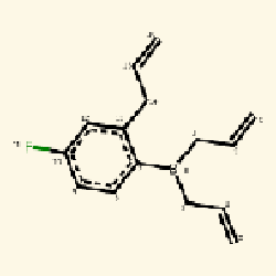 C=CCB(CC=C)c1ccc(F)cc1CC=C